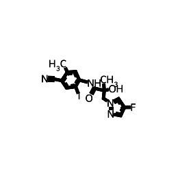 Cc1cc(NC(=O)C(C)(O)Cn2cc(F)cn2)c(I)cc1C#N